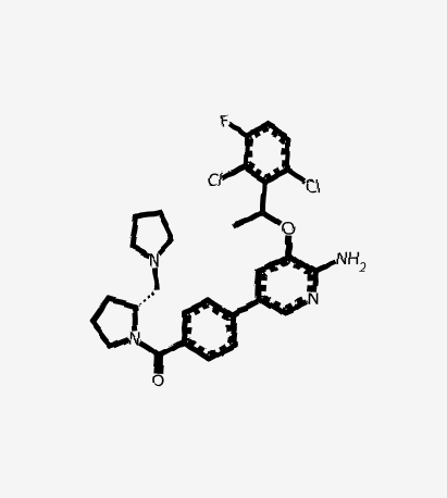 CC(Oc1cc(-c2ccc(C(=O)N3CCC[C@@H]3CN3CCCC3)cc2)cnc1N)c1c(Cl)ccc(F)c1Cl